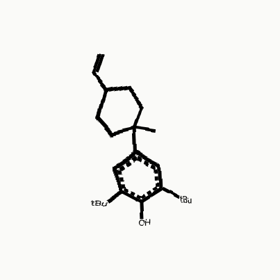 C=CC1CCC(C)(c2cc(C(C)(C)C)c(O)c(C(C)(C)C)c2)CC1